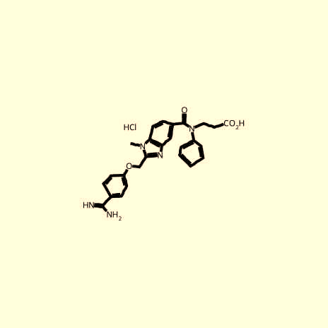 Cl.Cn1c(COc2ccc(C(=N)N)cc2)nc2cc(C(=O)N(CCC(=O)O)c3ccccc3)ccc21